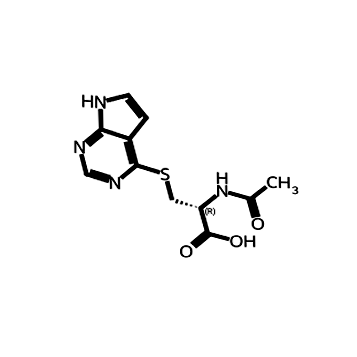 CC(=O)N[C@@H](CSc1ncnc2[nH]ccc12)C(=O)O